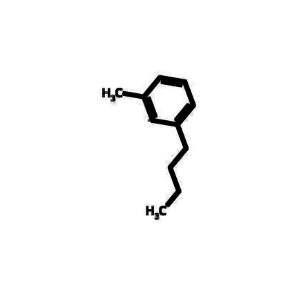 CCCCc1[c]c(C)ccc1